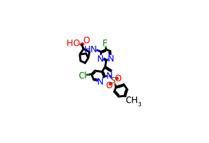 Cc1ccc(S(=O)(=O)n2cc(-c3ncc(F)c(NC4C5CCC(C5)C4C(=O)O)n3)c3cc(Cl)cnc32)cc1